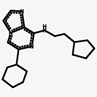 c1cn2cc(C3CCCCC3)nc(NCCC3CCCC3)c2n1